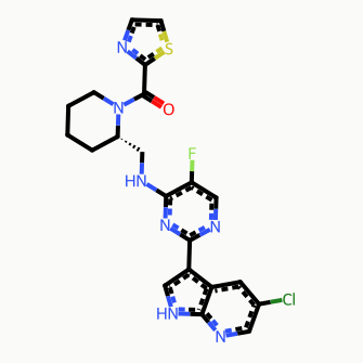 O=C(c1nccs1)N1CCCC[C@H]1CNc1nc(-c2c[nH]c3ncc(Cl)cc23)ncc1F